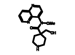 CON(C(=O)C1(CO)CCNCC1)c1ccnc2cccnc12